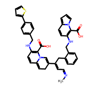 C/N=C\C=C(/Cc1ccccc1CNc1ccc2cccn2c1C(=O)O)C1=CN2C(=CC1)C=CC(NCc1ccc(-c3cccs3)cc1)=C2C(=O)O